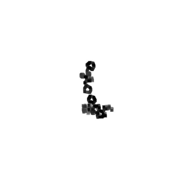 CC1(C)Oc2ncnc(N)c2N=C1c1ccc([C@H]2CC[C@H](CNC(=O)OCc3ccccc3)CC2)cc1